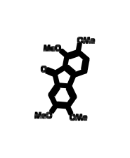 COc1cc2c(cc1OC)-c1ccc(OC)c(OC)c1C2=O